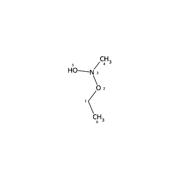 CCON(C)O